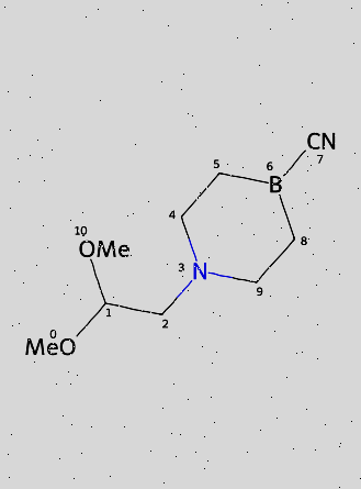 COC(CN1CCB(C#N)CC1)OC